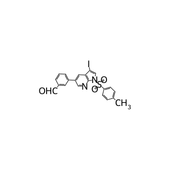 Cc1ccc(S(=O)(=O)n2cc(I)c3cc(-c4cccc(C=O)c4)cnc32)cc1